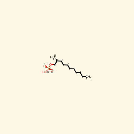 CCCCCCCCCC(C)COS(=O)(=O)O